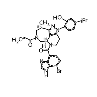 C=CC(=O)N1C[C@H](C)c2nn(-c3ccc(C(C)C)cc3O)c3c2[C@H](C1)N(C(=O)c1ccc(Br)c2[nH]cnc12)CC3